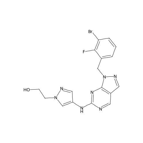 OCCn1cc(Nc2ncc3cnn(Cc4cccc(Br)c4F)c3n2)cn1